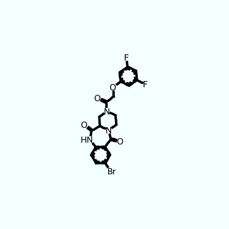 O=C1Nc2ccc(Br)cc2C(=O)N2CCN(C(=O)COc3cc(F)cc(F)c3)CC12